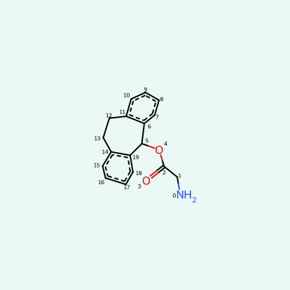 NCC(=O)OC1c2ccccc2CCc2ccccc21